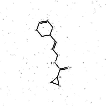 O=C(NC/C=C/C1CC=CCC1)C1CC1